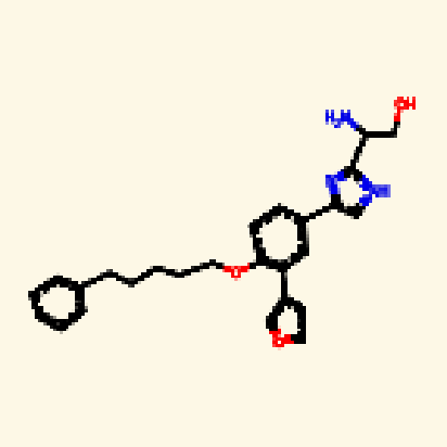 NC(CO)c1nc(-c2ccc(OCCCCCc3ccccc3)c(-c3ccoc3)c2)c[nH]1